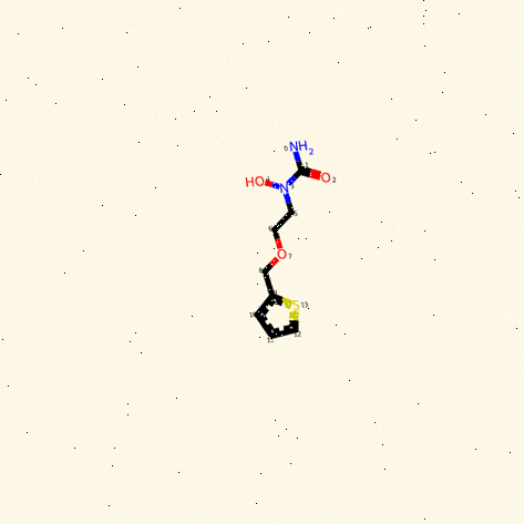 NC(=O)N(O)CCOCc1cccs1